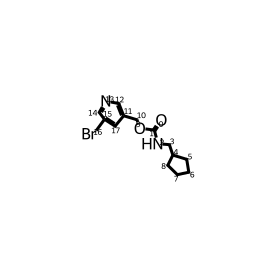 O=C(NCC1CCCC1)OCc1cncc(Br)c1